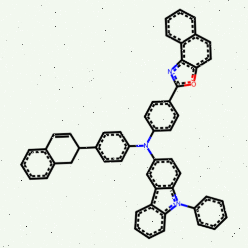 C1=CC(c2ccc(N(c3ccc(-c4nc5c(ccc6ccccc65)o4)cc3)c3ccc4c(c3)c3ccccc3n4-c3ccccc3)cc2)Cc2ccccc21